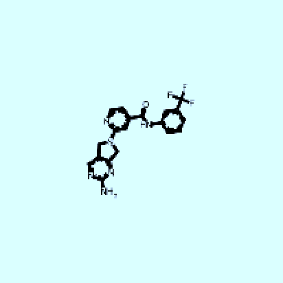 Nc1ncc2c(n1)CN(c1cc(C(=O)Nc3cccc(C(F)(F)F)c3)ccn1)C2